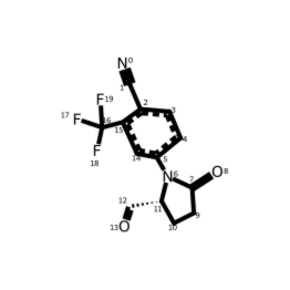 N#Cc1ccc(N2C(=O)CC[C@@H]2C=O)cc1C(F)(F)F